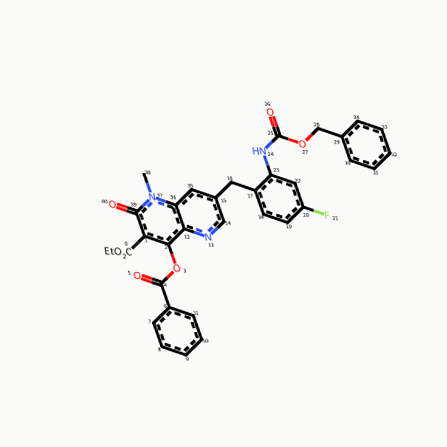 CCOC(=O)c1c(OC(=O)c2ccccc2)c2ncc(Cc3ccc(F)cc3NC(=O)OCc3ccccc3)cc2n(C)c1=O